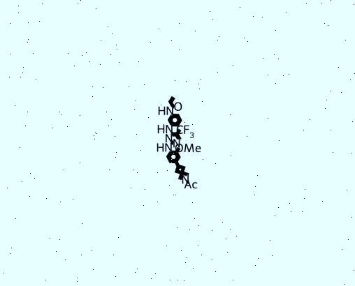 C=CC(=O)Nc1cccc(Nc2nc(Nc3ccc(C4CC5(C4)CN(C(C)=O)C5)cc3OC)ncc2C(F)(F)F)c1